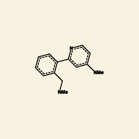 CNCc1ccccc1-c1cc(NC)ccn1